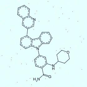 NC(=O)c1ccc(-n2c3ccccc3c3c(-c4cnc5ccccc5c4)cccc32)cc1NC1CCOCC1